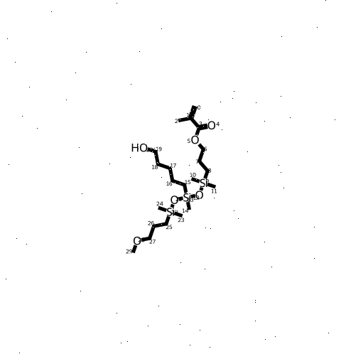 C=C(C)C(=O)OCCC[Si](C)(C)O[Si](C)(CCCCCO)O[Si](C)(C)CCCOC